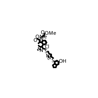 COC(=O)CCn1c(C(=O)OC)c(C)c2c(-c3c(CSCc4cc(CSc5cc(O)cc6c5CCC6)n(C)n4)nn(C)c3C)c(Cl)ccc21